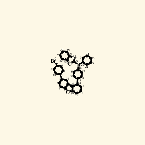 Brc1ccc(-c2ccc3oc4cccc(-c5ccc(N(c6ccccc6)c6nc7ccccc7o6)cc5)c4c3c2)cc1